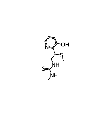 CNC(=S)NCC(SC)c1ncccc1O